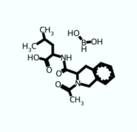 CC(=O)N1Cc2ccccc2CC1C(=O)NC(CC(C)C)C(=O)O.OBO